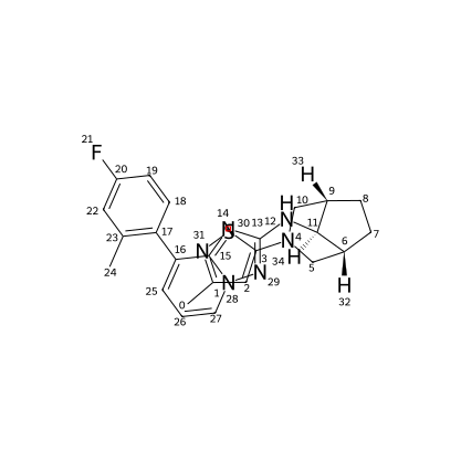 Cc1cc(N2C[C@H]3CC[C@@H](C2)[C@@H]3Nc2nc3c(-c4ccc(F)cc4C)cccn3n2)sn1